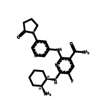 NC(=O)c1cc(F)c(N[C@@H]2CCCC[C@@H]2N)nc1Nc1cncc(N2CCCC2=O)c1